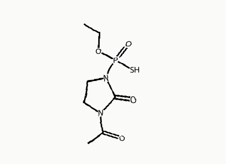 CCOP(=O)(S)N1CCN(C(C)=O)C1=O